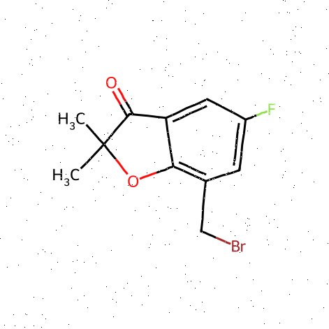 CC1(C)Oc2c(CBr)cc(F)cc2C1=O